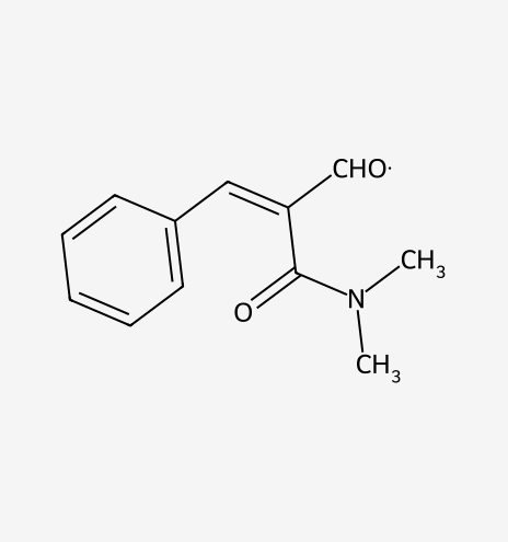 CN(C)C(=O)C([C]=O)=Cc1ccccc1